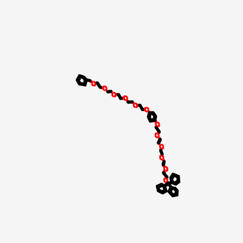 c1ccc(COCCOCCOCCOCCOCCOc2ccc(OCCOCCOCCOCCOCCOC(c3ccccc3)(c3ccccc3)c3ccccc3)cc2)cc1